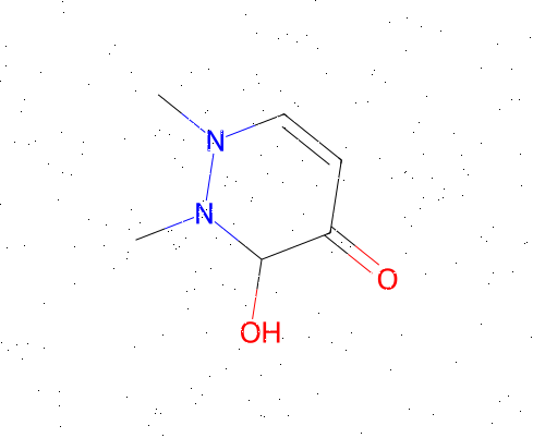 CN1C=CC(=O)C(O)N1C